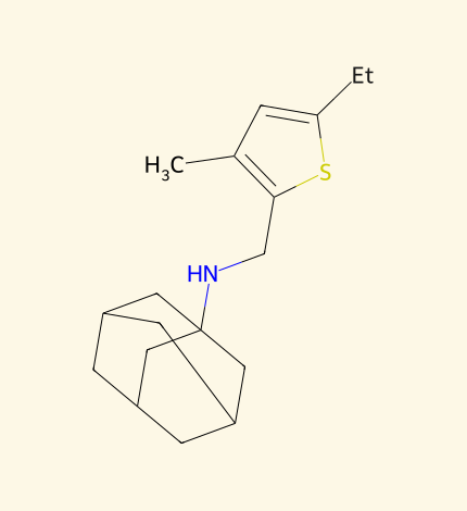 CCc1cc(C)c(CNC23CC4CC(CC(C4)C2)C3)s1